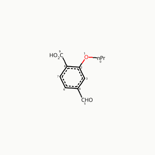 CCCOc1cc(C=O)ccc1C(=O)O